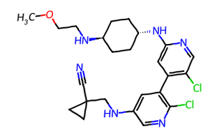 COCCN[C@H]1CC[C@H](Nc2cc(-c3cc(NCC4(C#N)CC4)cnc3Cl)c(Cl)cn2)CC1